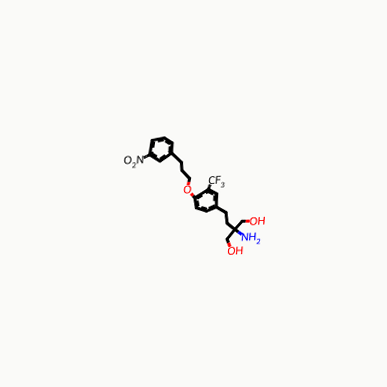 NC(CO)(CO)CCc1ccc(OCCCc2cccc([N+](=O)[O-])c2)c(C(F)(F)F)c1